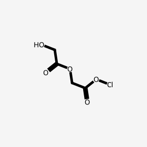 O=C(COC(=O)CO)OCl